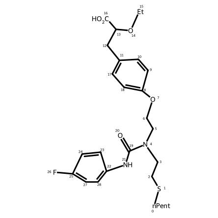 CCCCCSCCN(CCOc1ccc(CC(OCC)C(=O)O)cc1)C(=O)Nc1ccc(F)cc1